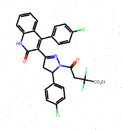 CCOC(=O)C(F)(F)CC(=O)N1N=C(c2c(-c3ccc(Cl)cc3)c3ccccc3[nH]c2=O)CC1c1ccc(Cl)cc1